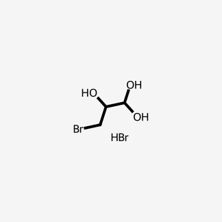 Br.OC(O)C(O)CBr